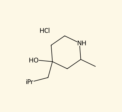 CC(C)CC1(O)CCNC(C)C1.Cl